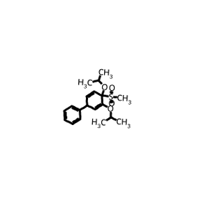 CC(C)OC1=CC(c2ccccc2)C=CC1(OC(C)C)S(C)(=O)=O